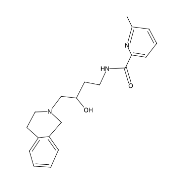 Cc1cccc(C(=O)NCCC(O)CN2CCc3ccccc3C2)n1